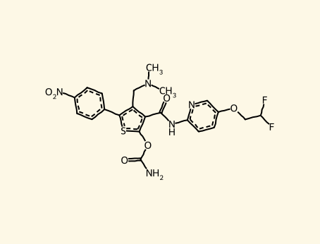 CN(C)Cc1c(-c2ccc([N+](=O)[O-])cc2)sc(OC(N)=O)c1C(=O)Nc1ccc(OCC(F)F)cn1